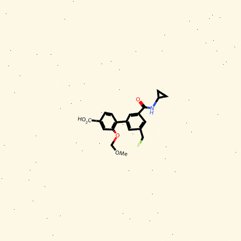 COCOc1cc(C(=O)O)ccc1-c1cc(CF)cc(C(=O)NC2CC2)c1